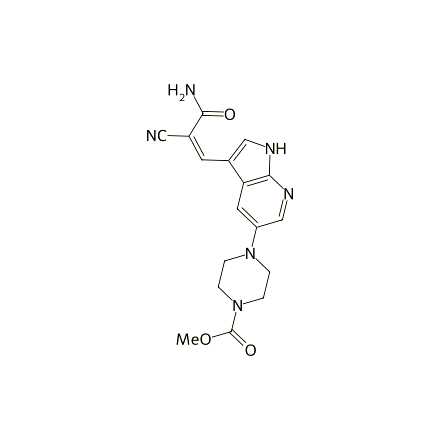 COC(=O)N1CCN(c2cnc3[nH]cc(C=C(C#N)C(N)=O)c3c2)CC1